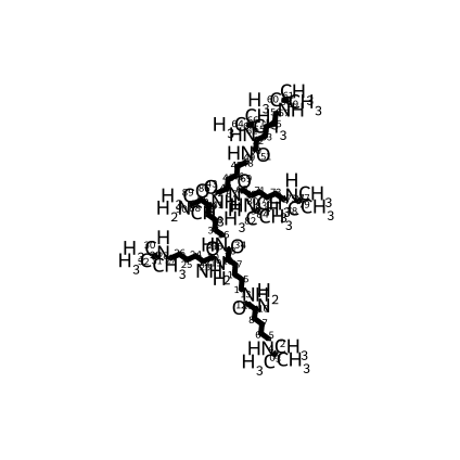 CC(C)(C)NCCCCC(N)C(=O)NCCCCC(NC(=O)C(N)CCCCNC(C)(C)C)C(=O)NCCCCC(NC(=O)C(CCCCNC(=O)C(CCCCNC(C)(C)C)NC(C)(C)C)NC(=O)C(CCCCNC(C)(C)C)NC(C)(C)C)C(=O)C(C)(C)N